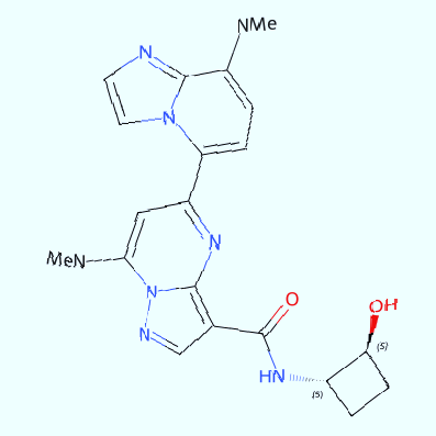 CNc1ccc(-c2cc(NC)n3ncc(C(=O)N[C@H]4CC[C@@H]4O)c3n2)n2ccnc12